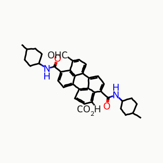 CC1CCC(NC(=O)c2ccc3c4ccc(C(=O)O)c5c(C(=O)NC6CCC(C)CC6)ccc(c6ccc(C=O)c2c36)c54)CC1